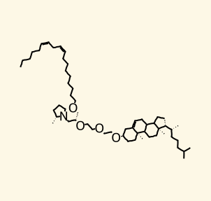 CCCCC/C=C\C/C=C\CCCCCCCCOC[C@@H](CN1CCC[C@H]1C)OCCOCCO[C@H]1CC[C@@]2(C)C(=CCC3C2CC[C@@]2(C)C3CC[C@@H]2[C@H](C)CCCC(C)C)C1